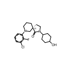 O=C1N(C2CCC(O)CC2)CC[C@]12CCCN(c1cccc(Cl)c1F)C2